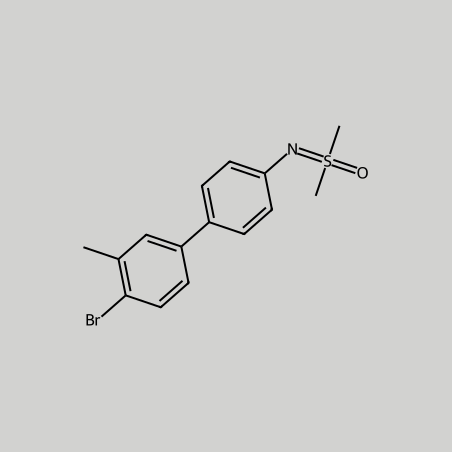 Cc1cc(-c2ccc(N=S(C)(C)=O)cc2)ccc1Br